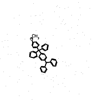 COc1ccc(C(c2ccccc2)(c2ccccc2)c2ccc([C](c3ccccc3)c3ccccc3)cc2)cc1